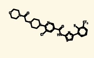 O=C(Nc1nc(-c2cccc(C(F)(F)F)c2F)cs1)c1cnc(N2CCN(CC(=O)N3CCOCC3)CC2)c(Cl)c1